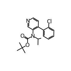 CC(C)N(C(=O)OC(C)(C)C)c1cnccc1-c1ccccc1Cl